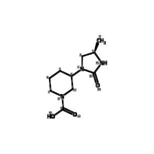 C[C@@H]1CN(C2CCCN(C(=O)O)C2)C(=O)N1